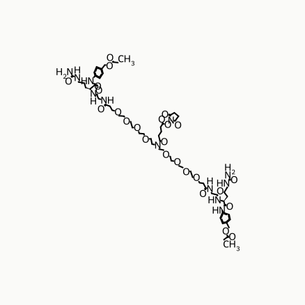 CCC(=O)OCc1ccc(NC(=O)[C@H](CCCNC(N)=O)NC(=O)CNC(=O)CCOCCOCCOCCOCCN(CCOCCOCCOCCOCCC(=O)NCC(=O)N[C@@H](CCCNC(N)=O)C(=O)Nc2ccc(COC(=O)CC)cc2)C(=O)CCCC(=O)ON2C(=O)CCC2=O)cc1